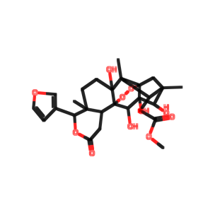 COC(=O)CC1C2(C)CC34OOC5(C6CC(=O)OC(c7ccoc7)C6(C)CCC5(O)C13C)C(O)C4(O)C2O